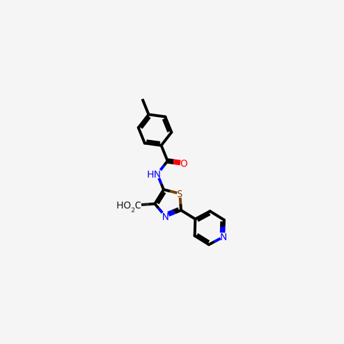 Cc1ccc(C(=O)Nc2sc(-c3ccncc3)nc2C(=O)O)cc1